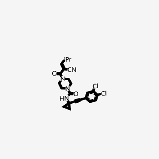 CC(C)/C=C(\C#N)C(=O)N1CCN(C(=O)NC2(C#Cc3ccc(Cl)c(Cl)c3)CC2)CC1